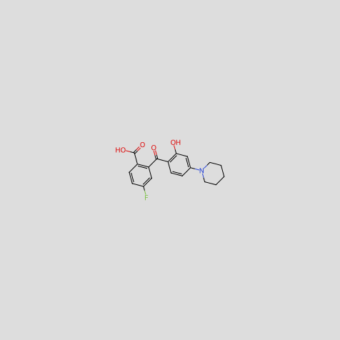 O=C(O)c1ccc(F)cc1C(=O)c1ccc(N2CCCCC2)cc1O